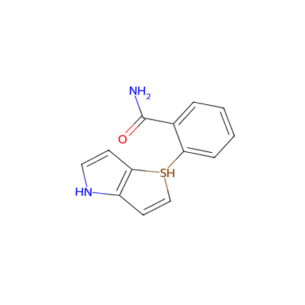 NC(=O)c1ccccc1[SH]1C=Cc2[nH]ccc21